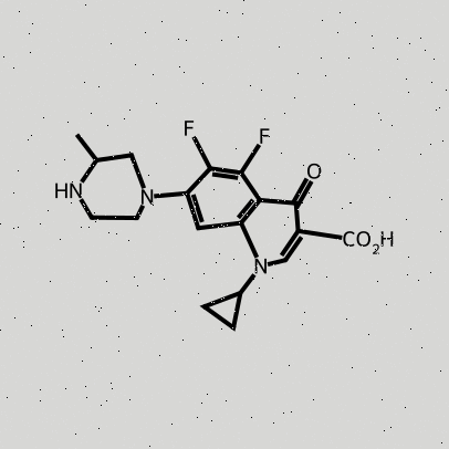 CC1CN(c2cc3c(c(F)c2F)c(=O)c(C(=O)O)cn3C2CC2)CCN1